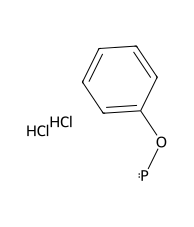 Cl.Cl.[P]Oc1ccccc1